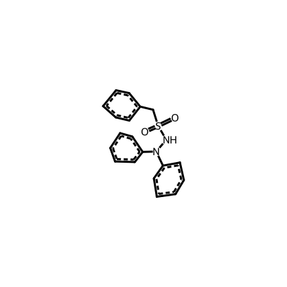 O=S(=O)(Cc1ccccc1)NN(c1ccccc1)c1ccccc1